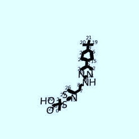 CC(C)(Sc1nc(CCNc2ncc(-c3ccc(C(C)(C)C)cc3)cn2)cs1)C(=O)O